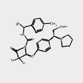 CCCC(NC(=O)N1C(=O)C(CC)(CC)C1Oc1ccc([C@@H](COC)N2CCCC2)cc1)c1ccc(C)cc1